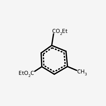 CCOC(=O)c1cc(C)cc(C(=O)OCC)c1